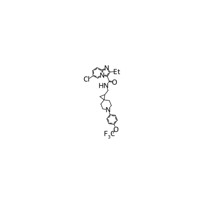 CCc1nc2ccc(Cl)cn2c1C(=O)NCC1CC12CCN(c1ccc(OC(F)(F)F)cc1)CC2